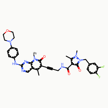 Cc1c(C#CCNC(=O)c2c(C)n(C)n(Cc3ccc(F)c(F)c3)c2=O)c(=O)n(C(C)C)c2nc(Nc3ccc(N4CCOCC4)cc3)ncc12